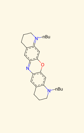 CCCCN1CCCc2cc3c(cc21)Oc1cc2c(cc1=N3)CCC[N+]=2CCCC